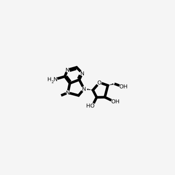 CN1CN([C@@H]2O[C@H](CO)C(O)C2O)c2ncnc(N)c21